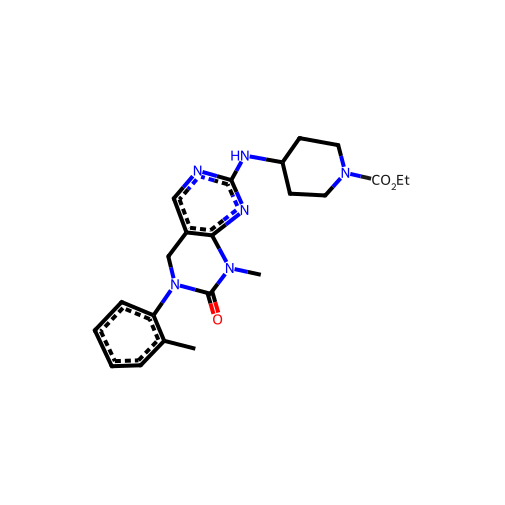 CCOC(=O)N1CCC(Nc2ncc3c(n2)N(C)C(=O)N(c2ccccc2C)C3)CC1